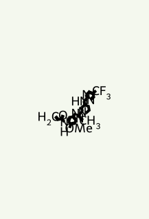 C=CC(=O)Nc1cc2nc(N3CCCC(Nc4ncc(C(F)(F)F)cn4)C3)n(C)c2cc1OC